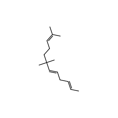 CC=CCC=CC(C)(C)CCC=C(C)C